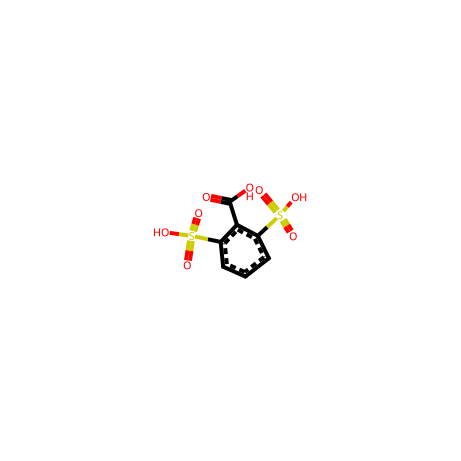 O=C(O)c1c(S(=O)(=O)O)cccc1S(=O)(=O)O